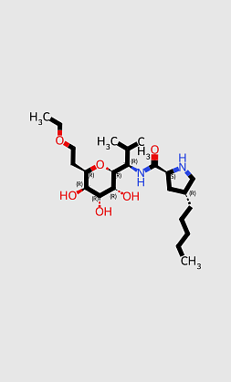 CCCCC[C@H]1CN[C@H](C(=O)N[C@H](C(C)C)[C@H]2O[C@H](CCOCC)[C@H](O)[C@@H](O)[C@H]2O)C1